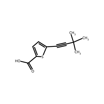 CC(C)(C)C#Cc1ccc(C(=O)O)s1